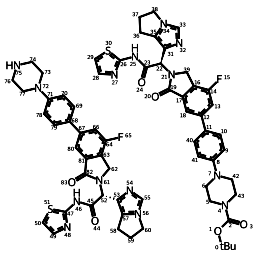 CC(C)(C)OC(=O)N1CCN(c2ccc(-c3cc(F)c4c(c3)C(=O)N([C@@H](C(=O)Nc3nccs3)c3ncn5c3CCC5)C4)cc2)CC1.O=C(Nc1nccs1)[C@@H](c1ncn2c1CCC2)N1Cc2c(F)cc(-c3ccc(N4CCNCC4)cc3)cc2C1=O